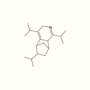 CC(C)C1=NCC(C(C)C)=C2C3CC(CC3C(C)C)C12